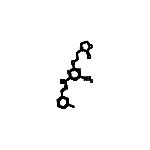 Cc1cccc(C=NNc2cc(N)nc(OCCN3CCOC3=O)n2)c1